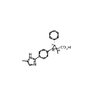 Cc1cnc(-c2ccc([C@H]3[C@H](c4ccccc4)[C@@]3(C)C(=O)O)cc2)[nH]1